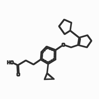 O=C(O)CCc1ccc(OCC2=C(C3CCCC3)CCC2)cc1C1CC1